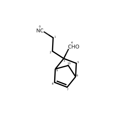 N#CCCC1(C=O)CC2C=CC1C2